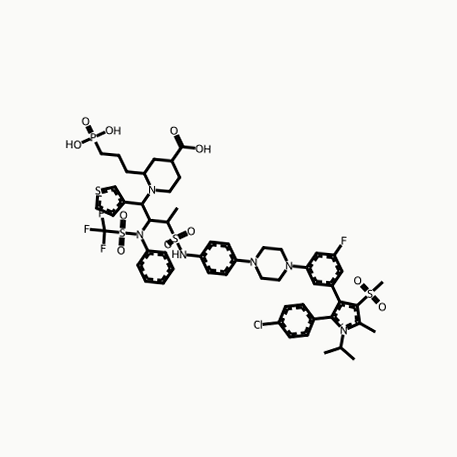 Cc1c(S(C)(=O)=O)c(-c2cc(F)cc(N3CCN(c4ccc(NS(=O)(=O)C(C)C(C(c5ccsc5)N5CCC(C(=O)O)CC5CCCP(=O)(O)O)N(c5ccccc5)S(=O)(=O)C(F)(F)F)cc4)CC3)c2)c(-c2ccc(Cl)cc2)n1C(C)C